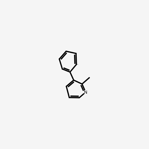 Cc1ncccc1-c1[c]cccc1